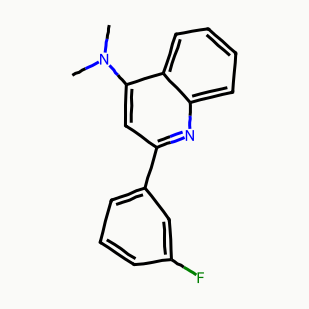 CN(C)c1cc(-c2cccc(F)c2)nc2ccccc12